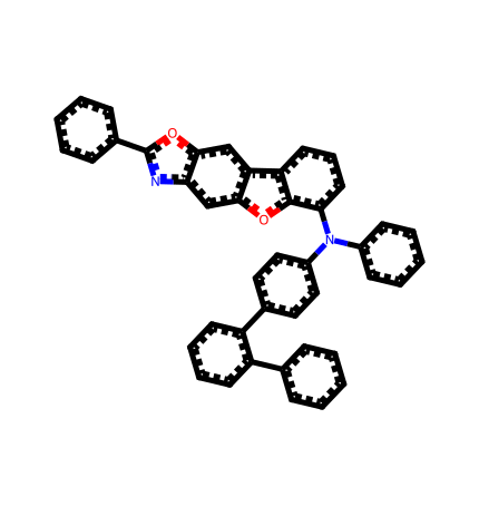 c1ccc(-c2nc3cc4oc5c(N(c6ccccc6)c6ccc(-c7ccccc7-c7ccccc7)cc6)cccc5c4cc3o2)cc1